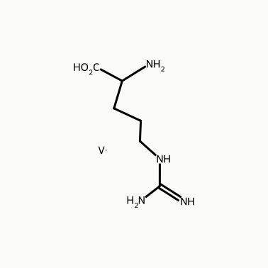 N=C(N)NCCCC(N)C(=O)O.[V]